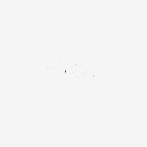 Cc1cn2nc(-c3cc(F)c4c(=O)n([C@H]5CCNC6(CC6)C5)cnc4c3)cc(C)c2n1